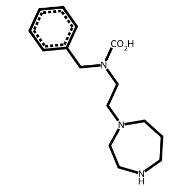 O=C(O)N(CCN1CCCNCC1)Cc1ccccc1